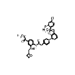 COC(=O)c1ccc(NC(=O)Cc2ccc(-c3cccc4c3OC(C)(c3ccc(Cl)cc3F)O4)cc2)c(NCC2CCO2)c1